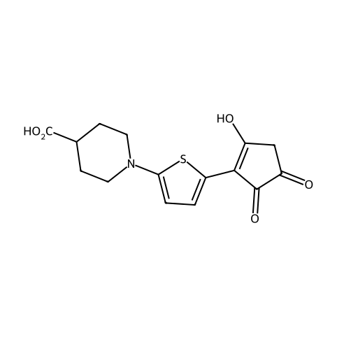 O=C1CC(O)=C(c2ccc(N3CCC(C(=O)O)CC3)s2)C1=O